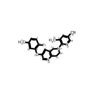 Cc1ccc(F)c(Oc2cnc3c(c2)CN(c2ncc(C#N)cc2C)CC3)c1